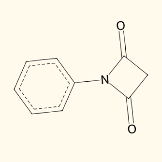 O=C1CC(=O)N1c1ccccc1